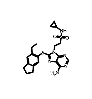 CCc1cc2c(cc1Sc1nc3c(N)ncnc3n1CCS(=O)(=O)NC1CC1)CCC2